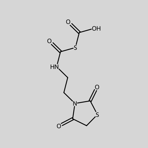 O=C(O)SC(=O)NCCN1C(=O)CSC1=O